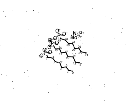 CCCCCCCCP(=O)([O-])[O-].CCCCCCCCP(=O)([O-])[O-].CCCCCCCCP(=O)([O-])[O-].[Nd+3].[Nd+3]